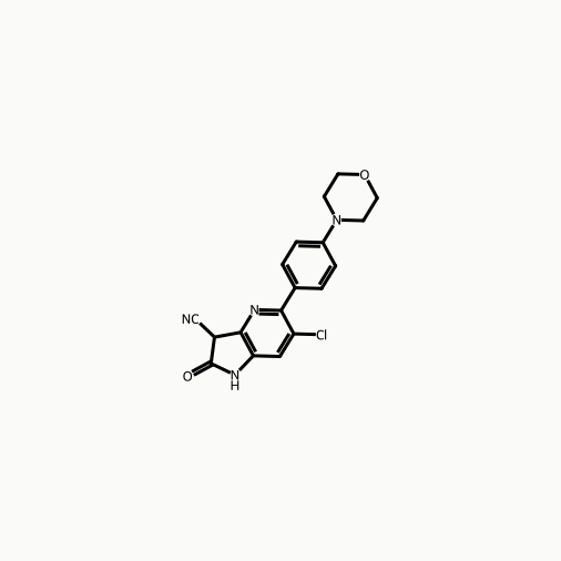 N#CC1C(=O)Nc2cc(Cl)c(-c3ccc(N4CCOCC4)cc3)nc21